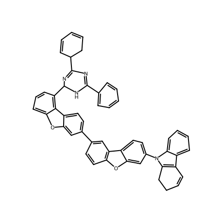 C1=CCC(C2=NC(c3cccc4oc5cc(-c6ccc7oc8cc(-n9c%10c(c%11ccccc%119)C=CCC%10)ccc8c7c6)ccc5c34)NC(c3ccccc3)=N2)C=C1